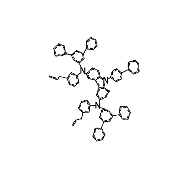 C=CCc1cccc(N(c2cc(-c3ccccc3)cc(-c3ccccc3)c2)c2ccc3c(c2)c2cc(N(c4cccc(CC=C)c4)c4cc(-c5ccccc5)cc(-c5ccccc5)c4)ccc2n3-c2ccc(-c3ccccc3)cc2)c1